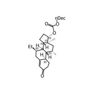 CCCCCCCCCCOC(=O)O[C@H]1CC[C@H]2[C@@H]3[C@H](CC)CC4=CC(=O)CC[C@@H]4[C@H]3[C@@H](C)C[C@]12C